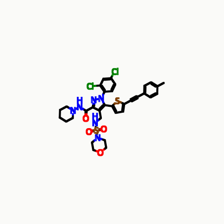 Cc1ccc(C#Cc2ccc(-c3c(CNS(=O)(=O)N4CCOCC4)c(C(=O)NN4CCCCC4)nn3-c3ccc(Cl)cc3Cl)s2)cc1